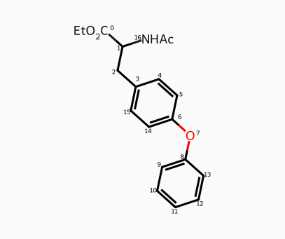 CCOC(=O)C(Cc1ccc(Oc2ccccc2)cc1)NC(C)=O